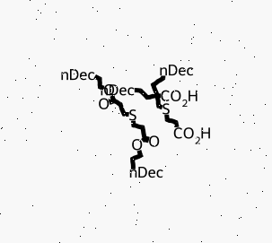 CCCCCCCCCCCCC(CCCCCCCCCCCC)(CSCCC(=O)O)C(=O)O.CCCCCCCCCCCCOC(=O)CCSCCC(=O)OCCCCCCCCCCCC